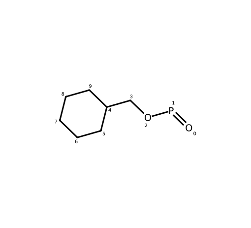 O=POCC1CCCCC1